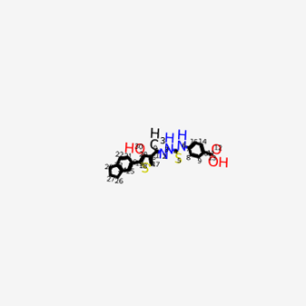 C/C(=N\NC(=S)Nc1ccc(C(=O)O)cc1)c1csc(-c2ccc3c(c2)CCC3)c1O